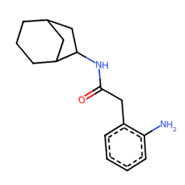 Nc1ccccc1CC(=O)NC1CC2CCCC1C2